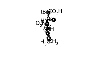 CC1(C)CCN(c2ccc(C(=O)NS(=O)(=O)c3ccc(N[C@H](CCCCN(C(=O)O)C(C)(C)C)CSc4ccccc4)c([N+](=O)[O-])c3)cc2)CC1